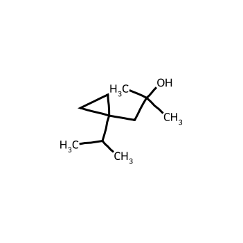 CC(C)C1(CC(C)(C)O)CC1